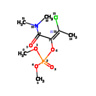 COP(=O)(OC)O/C(C(=O)N(C)C)=C(\C)Cl